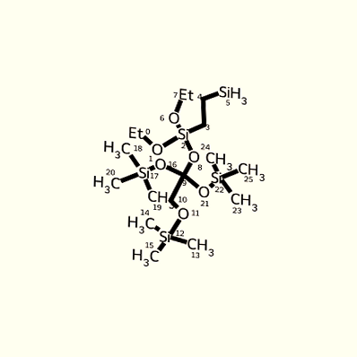 CCO[Si](CC[SiH3])(OCC)OC(CO[Si](C)(C)C)(O[Si](C)(C)C)O[Si](C)(C)C